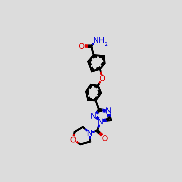 NC(=O)c1ccc(Oc2cccc(-c3ncn(C(=O)N4CCOCC4)n3)c2)cc1